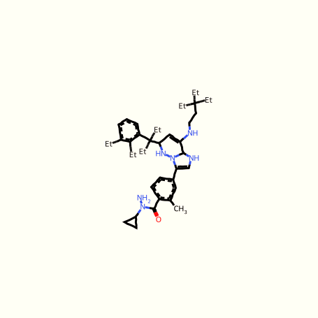 CCc1cccc(C(CC)(CC)C2C=C(NCCC(CC)(CC)CC)C3NC=C(c4ccc(C(=O)N(N)C5CC5)c(C)c4)N3N2)c1CC